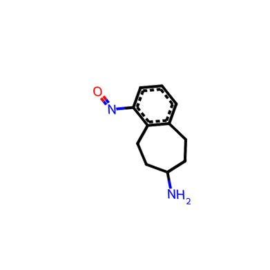 NC1CCc2cccc(N=O)c2CC1